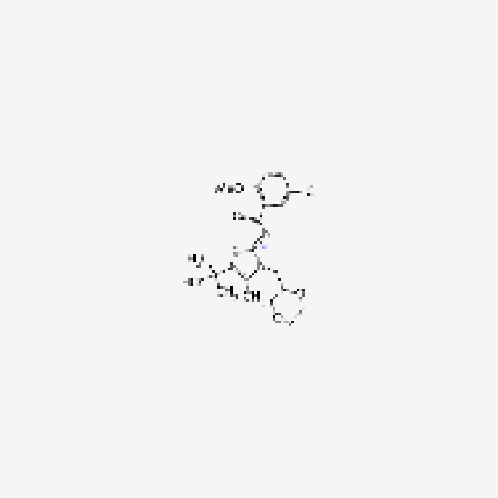 COc1ccc(Cl)cc1C(=O)/N=c1\sc(C(C)(C)O)c(C)n1CC1COCCO1